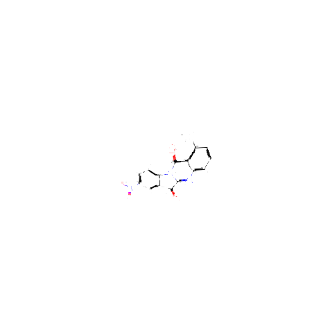 Cc1cccc2nc3n(c(=O)c12)-c1ccc([N+](=O)[O-])cc1C3=O